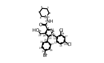 O=C(NN1CCCCC1)c1nn(-c2ccc(Cl)cc2Cl)c(-c2ccc(Br)cc2)c1CO